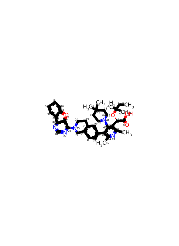 CCC(C)(C)O[C@H](C(=O)O)c1c(C)nc(C)c(-c2ccc3c(c2)CCN(c2ncnc4c2oc2ccccc24)C3)c1N1CCC(C)(C)CC1